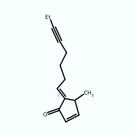 CCC#CCCC/C=C1/C(=O)C=CC1C